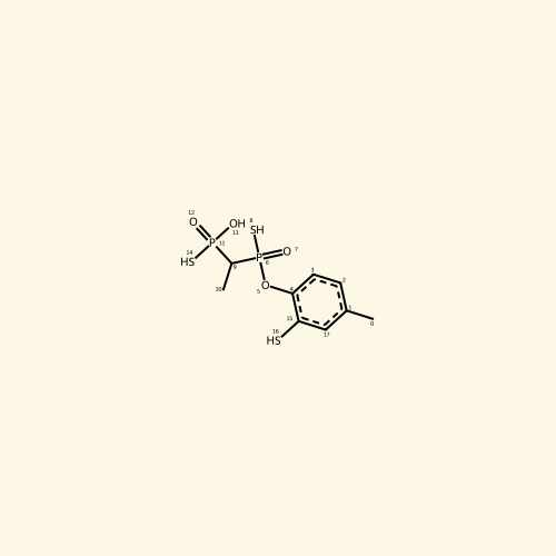 Cc1ccc(OP(=O)(S)C(C)P(=O)(O)S)c(S)c1